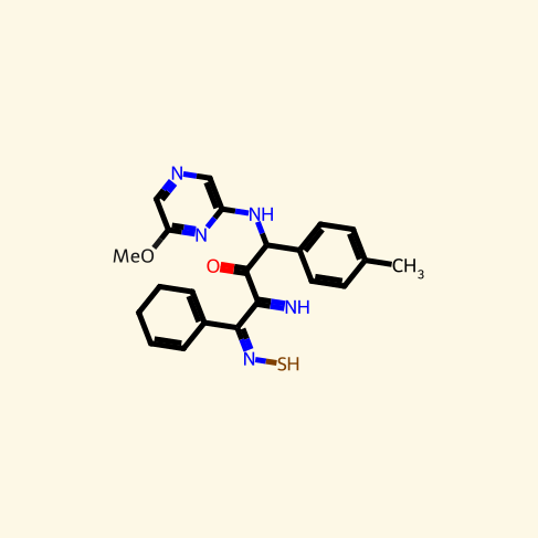 COc1cncc(NC(C(=O)C(=N)/C(=N\S)C2=CCCC=C2)c2ccc(C)cc2)n1